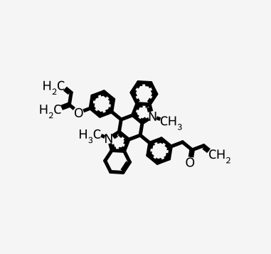 C=CC(=C)Oc1cccc(C2c3c(n(C)c4ccccc34)C(c3cccc(CC(=O)C=C)c3)c3c4c(n(C)c32)CCC=C4)c1